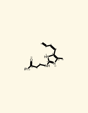 C=C/C=C\c1[nH]c(NCCC(=O)C(C)C)nc1C